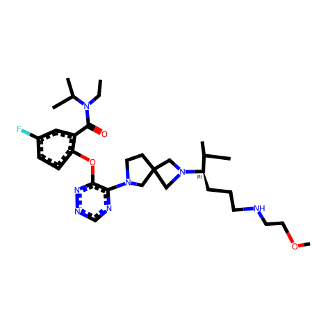 CCN(C(=O)c1cc(F)ccc1Oc1nncnc1N1CCC2(C1)CN([C@H](CCCNCCOC)C(C)C)C2)C(C)C